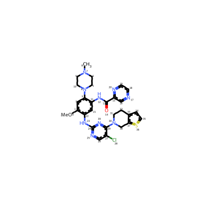 COc1cc(N2CCN(C)CC2)c(NC(=O)c2cnccn2)cc1Nc1ncc(Cl)c(N2CCc3ccsc3C2)n1